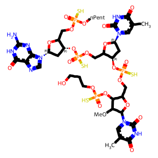 CCCCCOP(=O)(S)OCC1O[C@@H](n2cnc3c(=O)[nH]c(N)nc32)C[C@H]1OP(=O)(S)OCC1O[C@@H](n2cc(C)c(=O)[nH]c2=O)C[C@H]1OP(=O)(S)OCC1OC(n2cc(C)c(=O)[nH]c2=O)C(OC)C1OP(=O)(S)OCCCO